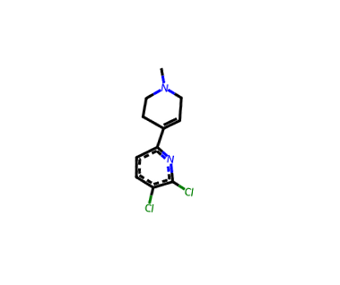 CN1CC=C(c2ccc(Cl)c(Cl)n2)CC1